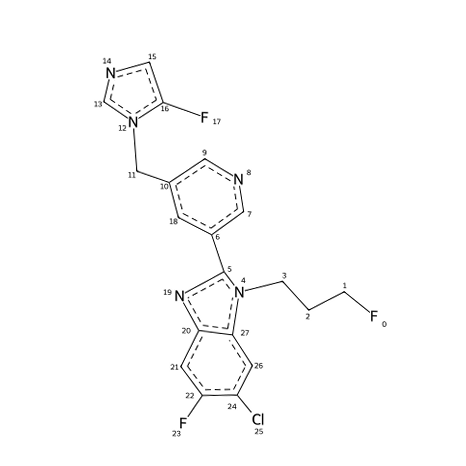 FCCCn1c(-c2cncc(Cn3cncc3F)c2)nc2cc(F)c(Cl)cc21